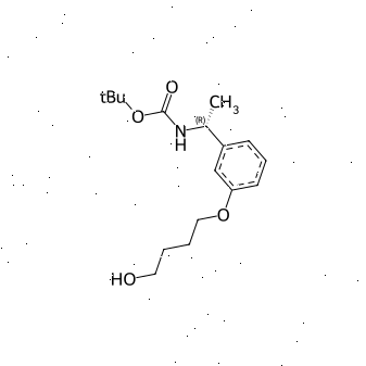 C[C@@H](NC(=O)OC(C)(C)C)c1cccc(OCCCCO)c1